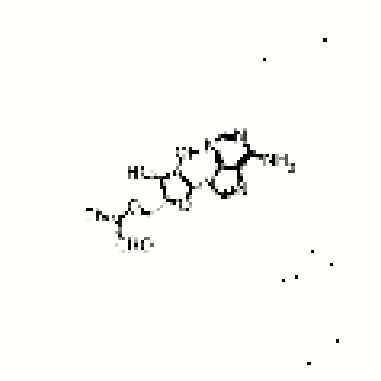 CCN(C=O)OC[C@H]1O[C@@H](n2cnc3c(N)ncnc32)[C@H](O)[C@@H]1O